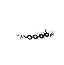 CCCC1CCC(C2CC=C(c3ccc4c(oc5c(F)c(OC(F)(F)F)ccc54)c3F)CC2)CC1